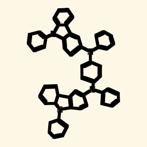 C1=CCCC(N2c3ccc(N(c4ccccc4)c4ccc(N(c5ccccc5)c5ccc6c(c5)c5ccccc5n6-c5ccccc5)cc4)cc3C3C=CC=CC32)=C1